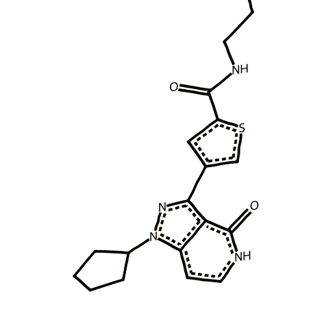 O=C(NCCO)c1cc(-c2nn(C3CCCC3)c3cc[nH]c(=O)c23)cs1